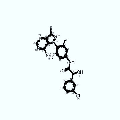 Cc1cc(NC(=O)C(O)c2cccc(Cl)c2)ccc1-n1nc(C)c2ncnc(N)c21